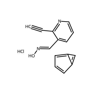 C#Cc1ncccc1C=NO.Cl.c1cc2cc-2c1